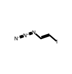 [N-]=[N+]=NC=CI